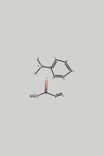 C=CC(=O)OC.C[Si](C)c1ccccc1